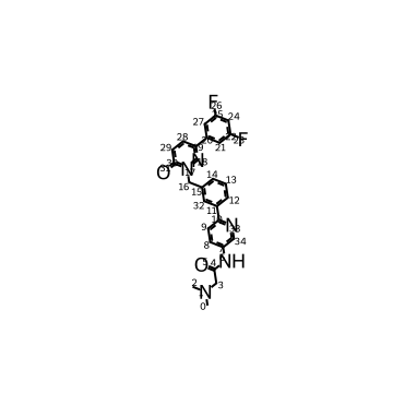 CN(C)CC(=O)Nc1ccc(-c2cccc(Cn3nc(-c4cc(F)cc(F)c4)ccc3=O)c2)nc1